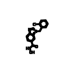 O=C(NO)c1ccc2ncn(Cc3ccccc3Cl)c2c1